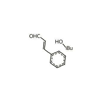 CCC(C)O.O=CC=Cc1ccccc1